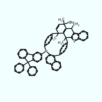 CC1C2=C3C(C)(C=CC2(C)C(C)(C)C)c2ccc(cc2)N(c2ccc4c(c2)-c2ccccc2C4(c2ccccc2)c2ccccc2)c2ccc4ccccc4c2-c2ccc(cc2)C3(C)c2sc3ccccc3c21